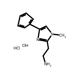 Cl.Cl.Cn1cc(-c2ccccc2)nc1CCN